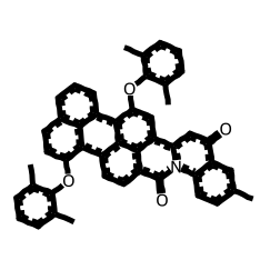 Cc1ccc2c(c1)c(=O)cc1c3cc(Oc4c(C)cccc4C)c4c5cccc6ccc(Oc7c(C)cccc7C)c(c7ccc(c(=O)n21)c3c74)c65